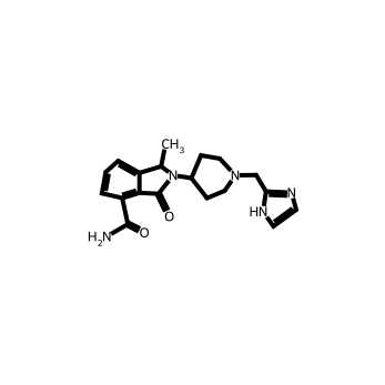 CC1c2cccc(C(N)=O)c2C(=O)N1C1CCN(Cc2ncc[nH]2)CC1